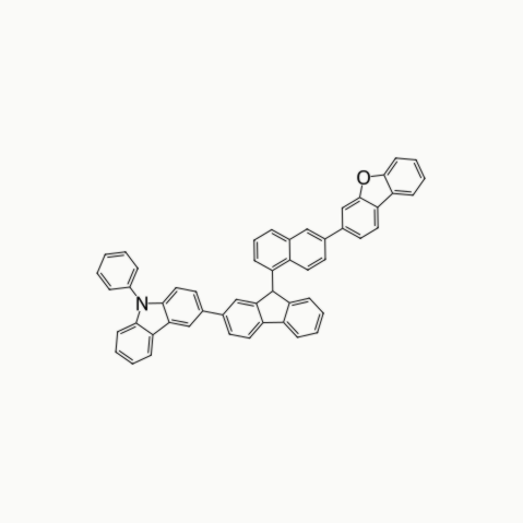 c1ccc(-n2c3ccccc3c3cc(-c4ccc5c(c4)C(c4cccc6cc(-c7ccc8c(c7)oc7ccccc78)ccc46)c4ccccc4-5)ccc32)cc1